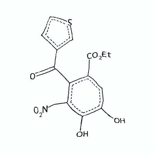 CCOC(=O)c1cc(O)c(O)c([N+](=O)[O-])c1C(=O)c1ccsc1